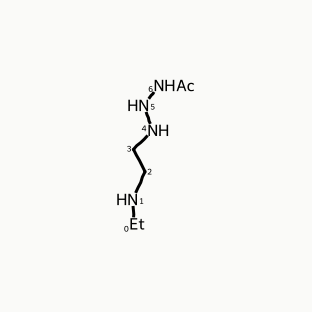 CCNCCNNNC(C)=O